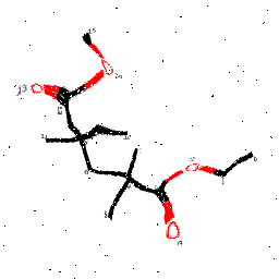 CCOC(=O)C(C)(C)CC(C)(C)C(=O)OC